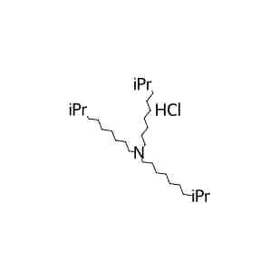 CC(C)CCCCCCCN(CCCCCCCC(C)C)CCCCCCCC(C)C.Cl